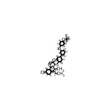 CCN(CC)c1ccc(Cl)cc1C(=O)N[C@@H](Cc1ccc(-c2cccc(Oc3ccc(OC(F)(F)F)cc3)c2)cc1)C(=O)O